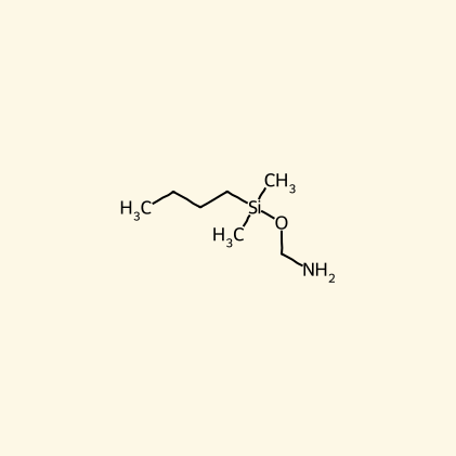 CCCC[Si](C)(C)OCN